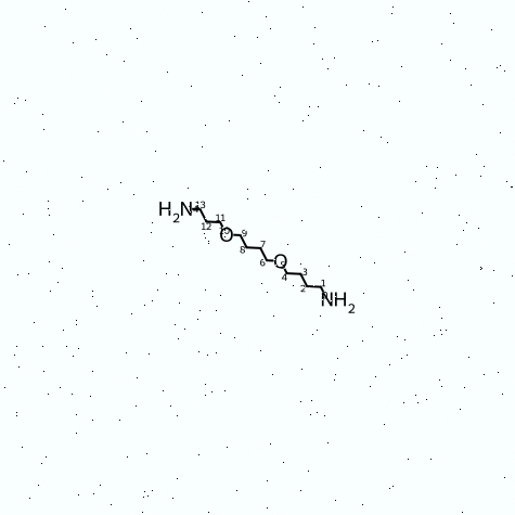 NCCCCOCCCCOCCCN